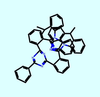 CC(C)c1ccccc1-n1c(-c2ccccc2-c2nc(-c3ccccc3)nc(-c3ccccc3-c3nc4cccc5c4n3-c3ccccc3C5C)n2)nc2ccccc21